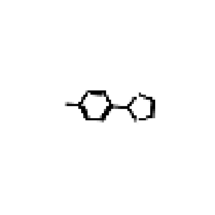 Fc1ccc([C]2OCCO2)cc1